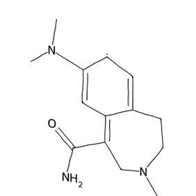 CN1CCC2=C[CH]C(N(C)C)=CC2=C(C(N)=O)C1